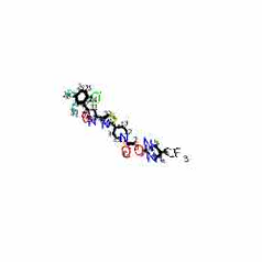 O=C(COc1ncc(C(F)(F)F)cn1)N1CCC(c2nc(C3=NOC(c4c(Cl)ccc(F)c4F)C3)cs2)CC1